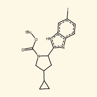 CC(C)(C)OC(=O)N1CC(C2CC2)CC1c1nc2ccc(I)cc2[nH]1